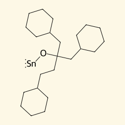 [Sn][O]C(CCC1CCCCC1)(CC1CCCCC1)CC1CCCCC1